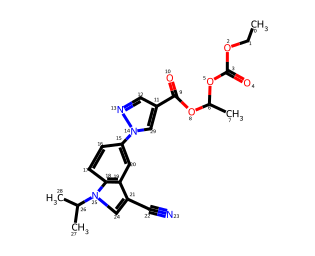 CCOC(=O)OC(C)OC(=O)c1cnn(-c2ccc3c(c2)c(C#N)cn3C(C)C)c1